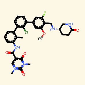 CCOc1cc(-c2cccc(-c3cccc(NC(=O)c4cn(C)c(=O)n(C)c4=O)c3C)c2Cl)cc(F)c1CN[C@H]1CCC(=O)NC1